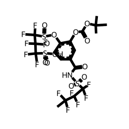 CC(C)(C)OC(=O)Oc1cc(C(=O)NS(=O)(=O)C(F)(F)C(F)(F)C(C)(F)F)ccc1OS(=O)(=O)C(F)(F)C(F)(F)C(F)(F)S(=O)(=O)O